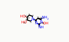 N=c1nc(N2CC[C@H](O)[C@@H](O)C2)cc(N)n1O